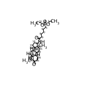 CCOP(=O)(CCCCCC(=O)NC1CC[C@H]2[C@@H]3CC[C@H]4N(C)C(=O)C=C[C@]4(C)[C@H]3CC[C@]12C)OCC